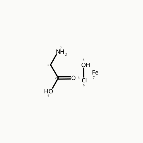 NCC(=O)O.OCl.[Fe]